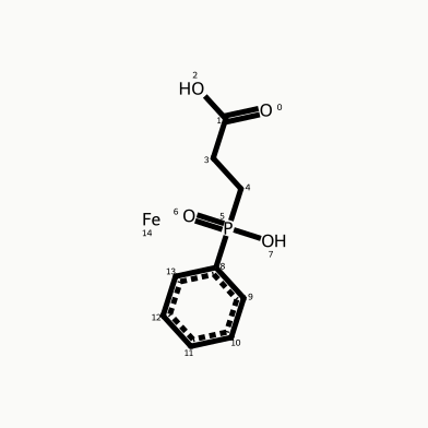 O=C(O)CCP(=O)(O)c1ccccc1.[Fe]